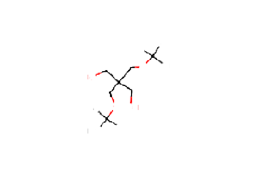 OCC(CO)(COC(C(F)(F)F)(C(F)(F)F)C(F)(F)F)COC(C(F)(F)F)(C(F)(F)F)C(F)(F)F